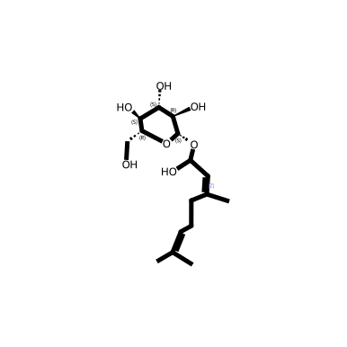 CC(C)=CCC/C(C)=C\C(O)O[C@@H]1O[C@H](CO)[C@@H](O)[C@H](O)[C@H]1O